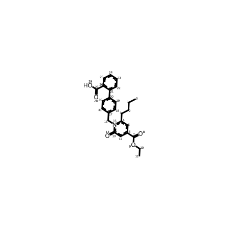 CCCCc1cc(C(=O)OCC)cc(=O)n1Cc1ccc(-c2ccccc2C(=O)O)cc1